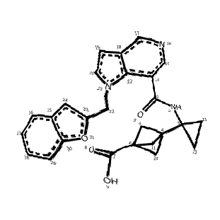 O=C(NC1(C23CC(C(=O)O)(C2)C3)CC1)c1cncc2ccn(Cc3cc4ccccc4o3)c12